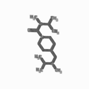 CC(C)N(C)CC1CCN(C(=O)N(C)C(C)C)CC1